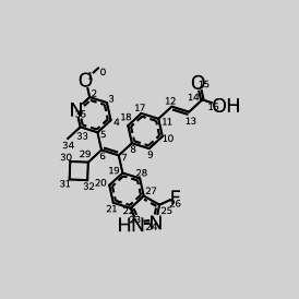 COc1ccc(/C(=C(\c2ccc(/C=C/C(=O)O)cc2)c2ccc3[nH]nc(F)c3c2)C2CCC2)c(C)n1